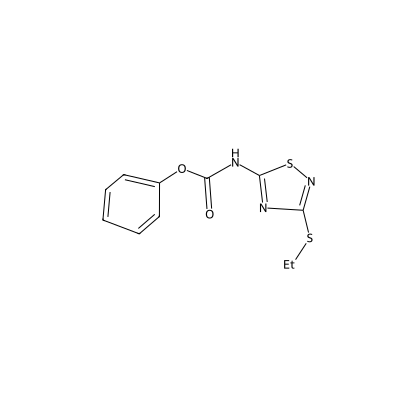 CCSc1nsc(NC(=O)Oc2ccccc2)n1